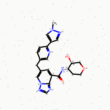 Cn1cc(-c2ccc(Cc3cc(C(=O)N[C@H]4CCOC[C@@H]4O)c4ncnn4c3)cn2)cn1